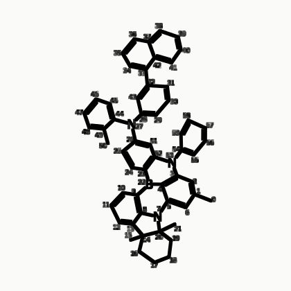 Cc1cc2c3c(c1)N1c4c(cccc4C4(C)CCCCC14C)B3c1ccc(N(c3cccc(-c4cccc5ccccc45)c3)c3ccccc3C)cc1N2c1ccccc1